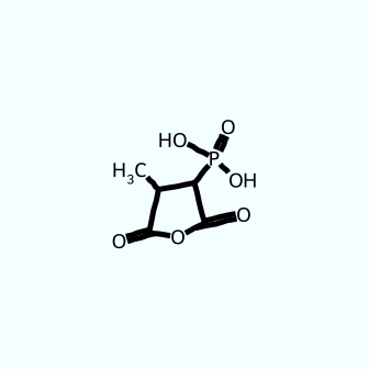 CC1C(=O)OC(=O)C1P(=O)(O)O